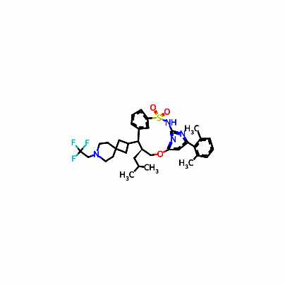 Cc1cccc(C)c1-c1cc2nc(n1)NS(=O)(=O)c1cccc(c1)C(C1CC3(CCN(CC(F)(F)F)CC3)C1)[C@H](CC(C)C)CO2